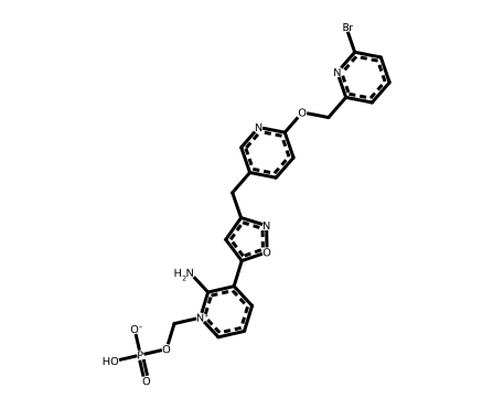 Nc1c(-c2cc(Cc3ccc(OCc4cccc(Br)n4)nc3)no2)ccc[n+]1COP(=O)([O-])O